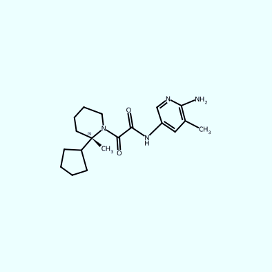 Cc1cc(NC(=O)C(=O)N2CCCC[C@@]2(C)C2CCCC2)cnc1N